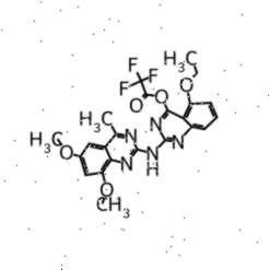 CCOc1cccc2nc(Nc3nc(C)c4cc(OC)cc(OC)c4n3)nc(OC(=O)C(F)(F)F)c12